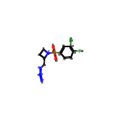 [N-]=[N+]=NCC1CCN1S(=O)(=O)c1ccc(F)c(Br)c1